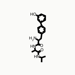 CC(C)NC(=O)C(C)NC(=O)C(N)Cc1ccc(-c2cccc(O)c2)cc1